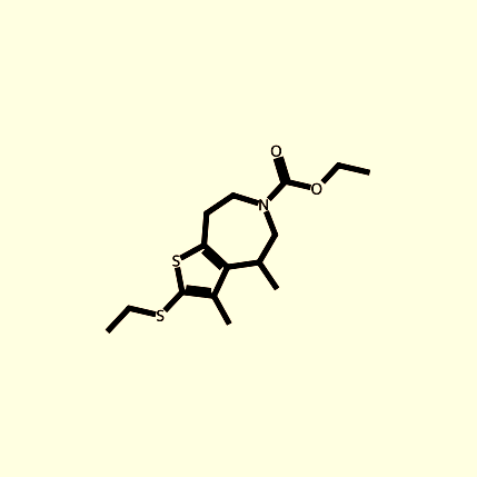 CCOC(=O)N1CCc2sc(SCC)c(C)c2C(C)C1